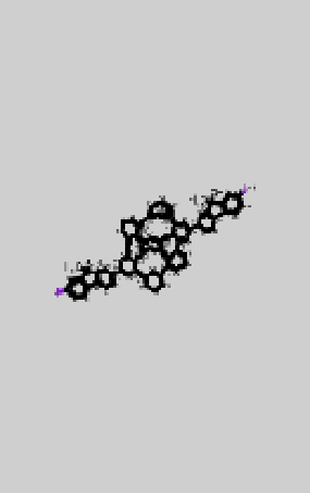 CC1(C)c2cc(I)ccc2-c2ccc(-c3cc4c5cccc(c5)c5cccc6c7cc(-c8ccc9c(c8)C(C)(C)c8cc(I)ccc8-9)cc8c9cccc(c9)c9cccc%10c(c3)c4c3cc(c(cc3c9%10)c87)c56)cc21